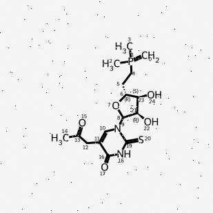 C=P(C)(C)CC[C@H]1OC(n2cc(CC(C)=O)c(=O)[nH]c2=S)[C@H](O)[C@@H]1O